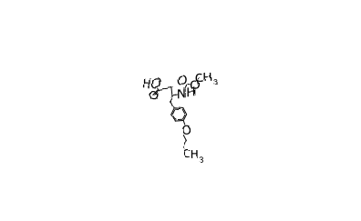 CCCCOc1ccc(C[C@@H](CC(=O)O)NC(=O)OC)cc1